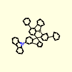 c1ccc(-c2ccc3c(c2)B2c4ccccc4-c4c(-c5ccccc5)ccc(c42)C32c3ccccc3-c3cc(-n4c5ccccc5c5ccccc54)ccc32)cc1